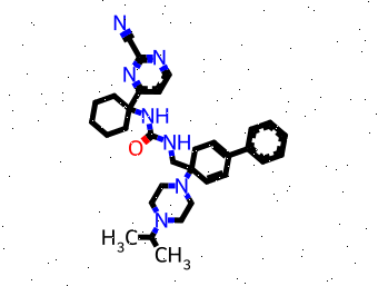 CC(C)N1CCN(C2(CNC(=O)NC3(c4ccnc(C#N)n4)CCCCC3)C=CC(c3ccccc3)=CC2)CC1